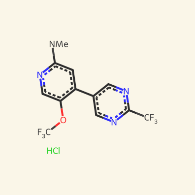 CNc1cc(-c2cnc(C(F)(F)F)nc2)c(OC(F)(F)F)cn1.Cl